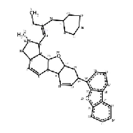 CC/C(=C\C1C2C(C=CC3C4C=CC(c5cccc6c5oc5ccccc56)CC4OC32)CN1C)CC1CCCCC1